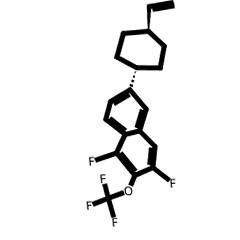 C=C[C@H]1CC[C@H](c2ccc3c(F)c(OC(F)(F)F)c(F)cc3c2)CC1